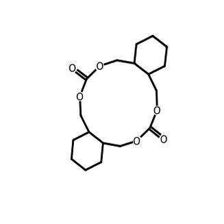 O=C1OCC2CCCCC2COC(=O)OCC2CCCCC2CO1